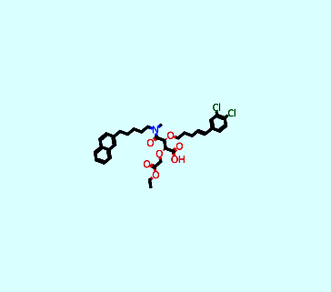 CCOC(=O)CO[C@@H](C(=O)O)[C@@H](OCCCC=Cc1ccc(Cl)c(Cl)c1)C(=O)N(C)CCCCCc1ccc2ccccc2c1